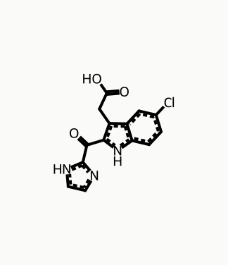 O=C(O)Cc1c(C(=O)c2ncc[nH]2)[nH]c2ccc(Cl)cc12